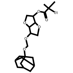 CCC(C)(C)C(=O)OC1COC2C(OCOC34CC5CC(CC(C5)C3)C4)COC12